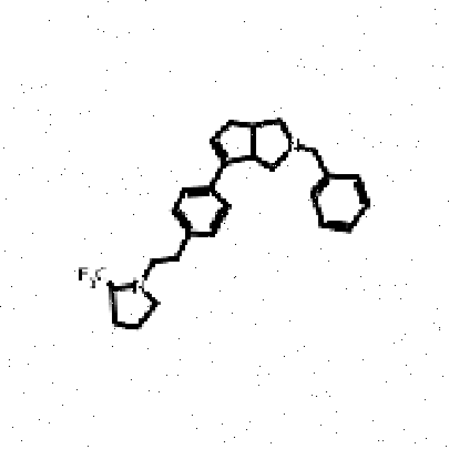 FC(F)(F)C1CCCN1CCc1ccc(C2=CCC3CN(Cc4ccccc4)CC23)cc1